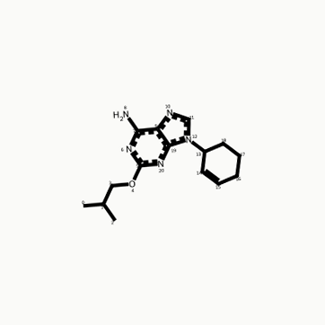 CC(C)COc1nc(N)c2ncn(C3C=CCCC3)c2n1